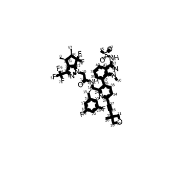 C[C@@H]1c2c(C(F)(F)F)nn(CC(=O)N[C@@H](Cc3cc(F)cc(F)c3)c3nc(C#CC4(C)COC4)ccc3-c3cccc4c(NS(C)(=O)=O)nn(C)c34)c2C(F)(F)[C@@H]1C